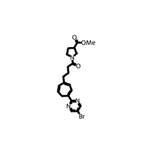 COC(=O)C1CCN(C(=O)CCCC2=CC=C(c3ncc(Br)cn3)CC=C2)C1